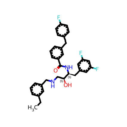 CCc1cccc(CNC[C@H](O)[C@H](Cc2cc(F)cc(F)c2)NC(=O)c2cccc(Cc3ccc(F)cc3)c2)c1